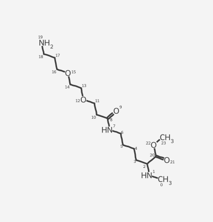 CNC(CCCCNC(=O)CCOCCOCCCN)C(=O)OC